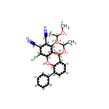 COC(C)OC(C)OC(=O)c1cccc(-c2ccccc2)c1Oc1c(F)c(F)c(C#N)c(C#N)c1F